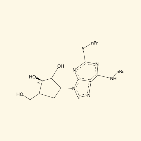 CCCCNc1nc(SCCC)nc2c1nnn2C1CC(CO)[C@@H](O)C1O